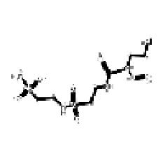 NS(=O)(=O)CCNS(=O)(=O)CCNC(=O)N(CCCl)N=O